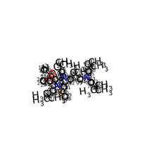 CC(C)(C)c1ccc(N2B3c4cc5oc(-c6ccccc6)c(-c6ccccc6)c5cc4N(c4ccc(C(C)(C)C)cc4-c4ccccc4)c4c3c(cc3c4sc4ccccc43)-c3cc4c(cc32)C(C)(C)c2cc(N(c3ccc(C(C)(C)C)cc3)c3ccc(C(C)(C)C)cc3)ccc2-4)cc1